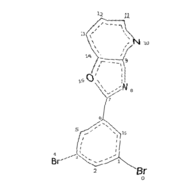 Brc1cc(Br)cc(-c2nc3ncccc3o2)c1